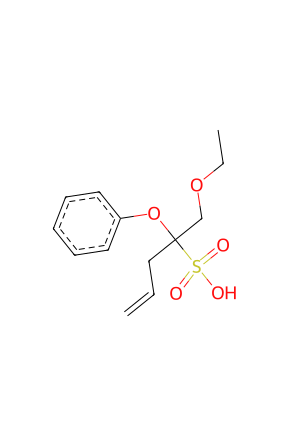 C=CCC(COCC)(Oc1ccccc1)S(=O)(=O)O